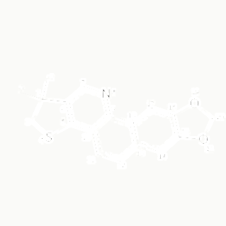 CC1(C)CSc2c1cnc1c2ccc2cc3c(cc21)OCO3